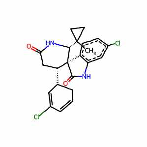 CC1([C@H]2NC(=O)C[C@@H](C3C=C(Cl)C=CC3)[C@]23C(=O)Nc2cc(Cl)ccc23)CC1